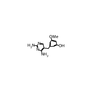 COc1cc(O)cc(Cc2cnc(N)nc2N)c1